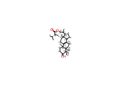 CC(C)[C@H]1C[C@@H]([C@@H](C)[C@H]2CC[C@@]3(C)C4=C(CC[C@]23C)[C@@]2(C)CC[C@H](O)C(C)(C)[C@@H]2CC4)OC1=O